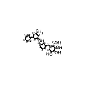 Cc1cc(NCc2cccc(CN3C[C@H](O)[C@@H](O)[C@H](O)[C@H]3CO)n2)cc(-c2ncccn2)c1